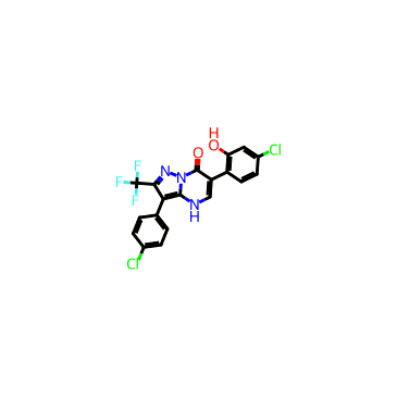 O=c1c(-c2ccc(Cl)cc2O)c[nH]c2c(-c3ccc(Cl)cc3)c(C(F)(F)F)nn12